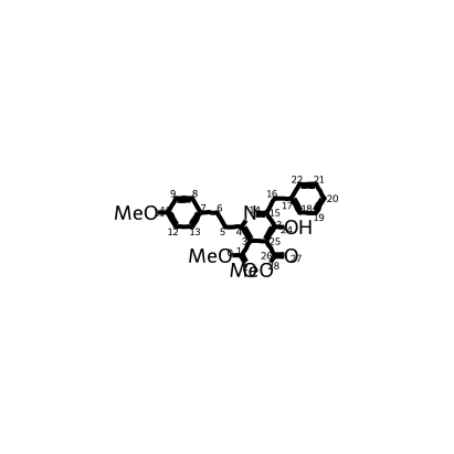 COC(=O)c1c(CCc2ccc(OC)cc2)nc(Cc2ccccc2)c(O)c1C(=O)OC